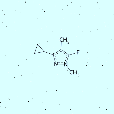 Cc1c(C2CC2)nn(C)c1F